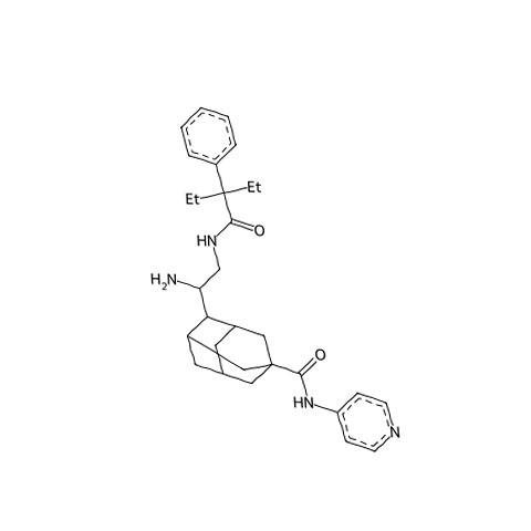 CCC(CC)(C(=O)NCC(N)C1C2CC3CC1CC(C(=O)Nc1ccncc1)(C3)C2)c1ccccc1